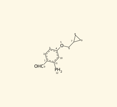 O=Cc1ccc(OCC2CC2)cc1P